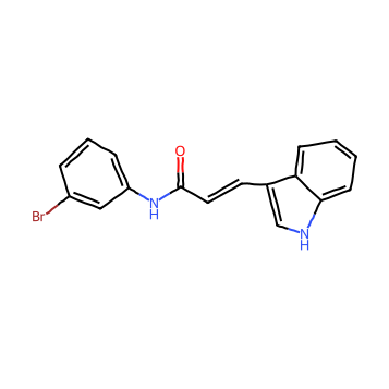 O=C(/C=C/c1c[nH]c2ccccc12)Nc1cccc(Br)c1